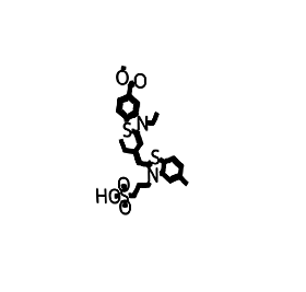 CCC(=CC1=[N+](CCCS(=O)(=O)O)C2C=C(C)C=CC2S1)C=C1Sc2ccc(C(=O)OC)cc2N1CC